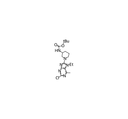 CCn1c(N2CCCC(NC(=O)OC(C)(C)C)C2)nc2nc(Cl)nc(C)c21